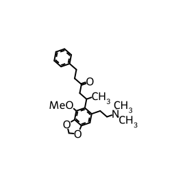 COc1c2c(cc(CCN(C)C)c1C(C)CC(=O)CCc1ccccc1)OCO2